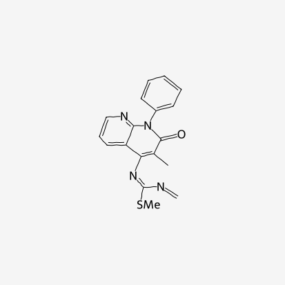 C=N/C(=N\c1c(C)c(=O)n(-c2ccccc2)c2ncccc12)SC